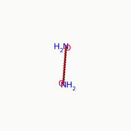 NC(=O)CCCCCCCCCCCCCCCCCCCCCCCCCCCCC(N)=O